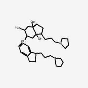 OC1CC2(O)CCC(CCCN3CCCC3)C2(O)CC1O.c1ccc2c(c1)CCC2CCCN1CCCC1